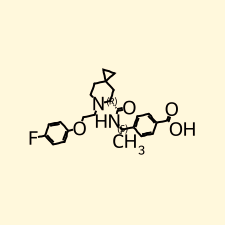 C[C@H](NC(=O)[C@H]1CC2(CCN1CCOc1ccc(F)cc1)CC2)c1ccc(C(=O)O)cc1